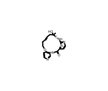 CC1(O)C/C=C/CCOc2ccncc2NC(=O)c2ccnc(n2)NC1